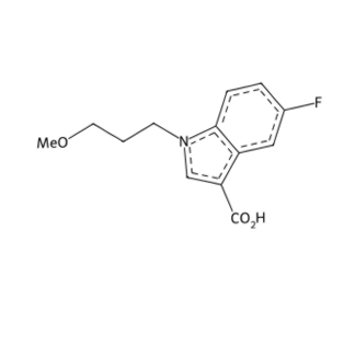 COCCCn1cc(C(=O)O)c2cc(F)ccc21